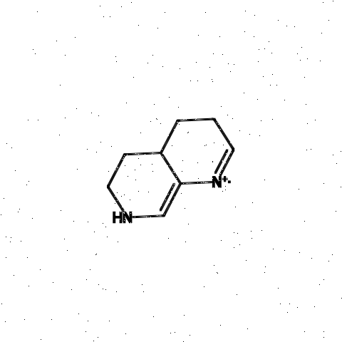 C1=[N+]C2=CNCCC2CC1